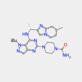 CCC(C)n1ncc2nc(N3CCN(C(N)=O)CC3)nc(N[C@H](C)c3cn4ccc(C)cc4n3)c21